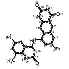 Cc1cc(C(C)C)cc2c(Nc3cc(C(C)C)cc4cc5c(=O)[nH]c(=O)[nH]c5cc34)nc(=O)[nH]c12